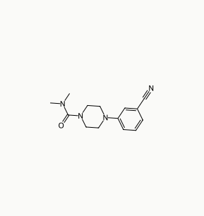 CN(C)C(=O)N1CCN(c2cccc(C#N)c2)CC1